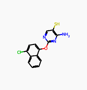 Nc1nc(Oc2ccc(Cl)c3ccccc23)ncc1S